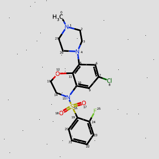 CN1CCN(c2cc(Cl)cc3c2OCCN3S(=O)(=O)c2ccccc2F)CC1